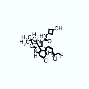 C=C(/C=C\C=C(\Cl)CF)[C@H]1[C@H](C(=O)N[C@H]2C[C@H](O)C2)N[C@H](CC(C)(C)C)[C@]12C(=O)Nc1cc(Cl)ccc12